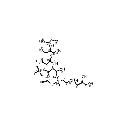 C=CC.C[N+](C)(C)CC(O)CC(=O)O.C[N+](C)(C)CCO.NCC(=O)O.OCC(O)CO.OCC(O)CO.OCCO